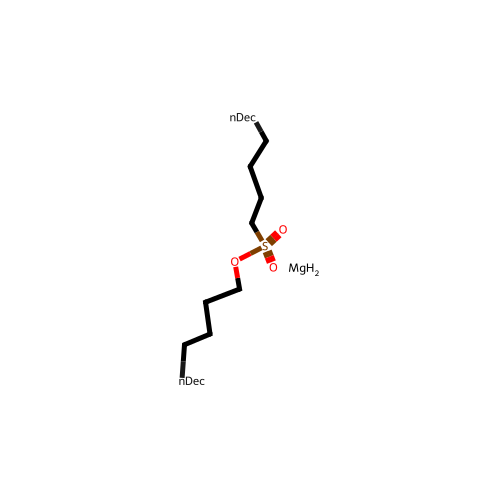 CCCCCCCCCCCCCCOS(=O)(=O)CCCCCCCCCCCCCC.[MgH2]